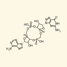 Nc1nc2c(nnn2[C@@H]2O[C@@H]3OCP(=O)(O)OC4C(O)[C@H](n5cnc6c(N)ncnc65)O[C@@H]4COP(=O)(O)OC3C2O)c(=O)[nH]1